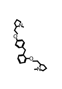 CN1CCCC1CCOc1ccc(Cc2ccccc2OCCC2CCCN2C)cc1